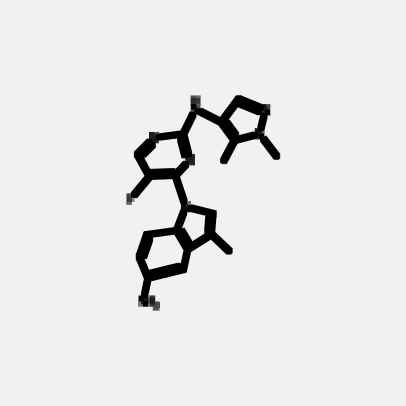 Cc1cn(-c2nc(Nc3cnn(C)c3C)ncc2F)c2ccc(N)cc12